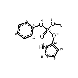 COP(=O)(Oc1ccccc1)Oc1ccn[nH]1